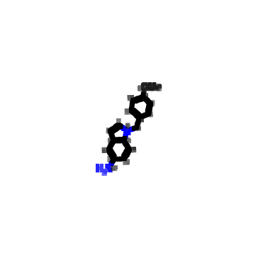 COc1ccc(Cn2ccc3cc(N)ccc32)cc1